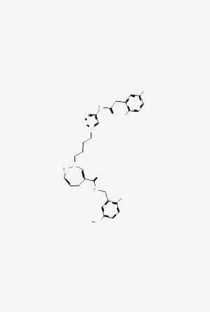 CCc1ccc(F)c(CC(=O)Nc2cn(CCCCN3C=C(C(=O)NCc4cc(OC(F)(F)F)ccc4F)CC=CN3)nn2)c1